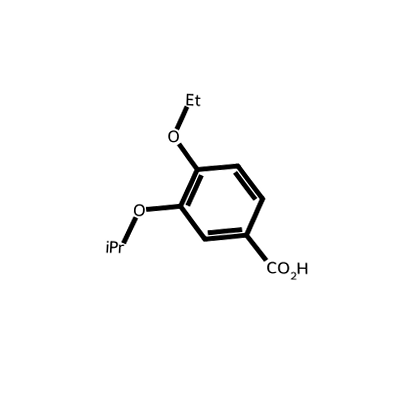 CCOc1ccc(C(=O)O)cc1OC(C)C